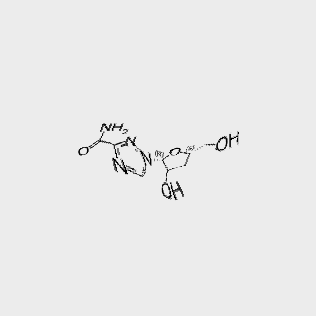 NC(=O)c1ncn([C@@H]2O[C@H](CO)CC2O)n1